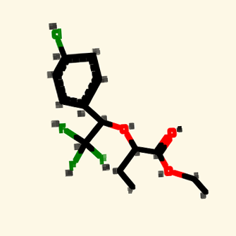 CCOC(=O)C(CC)OC(c1ccc(Cl)cc1)C(F)(F)F